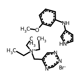 CC[N+](CC)(CC)Cc1cnncn1.COc1cccc(Nc2cc[nH]c2)c1.[Br-]